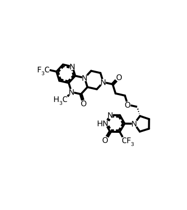 CN1C(=O)C2CN(C(=O)CCOC[C@@H]3CCCN3c3cn[nH]c(=O)c3C(F)(F)F)CCN2c2ncc(C(F)(F)F)cc21